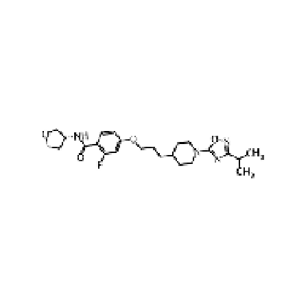 CC(C)c1noc(N2CCC(CCCOc3ccc(C(=O)N[C@@H]4CCOC4)c(F)c3)CC2)n1